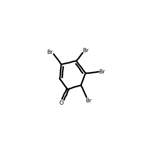 O=C1C=C(Br)C(Br)=C(Br)C1Br